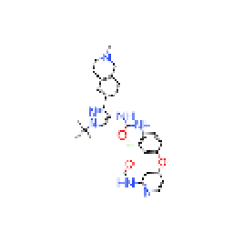 CC(=O)Nc1cc(Oc2ccc(NC(=O)Nc3cn(C(C)(C)C)nc3-c3ccc4c(c3)CCN(C)C4)c(F)c2)ccn1